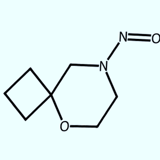 O=NN1CCOC2(CCC2)C1